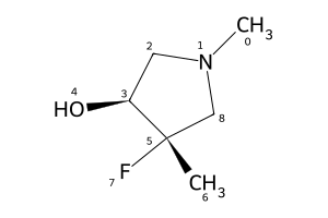 CN1C[C@H](O)[C@@](C)(F)C1